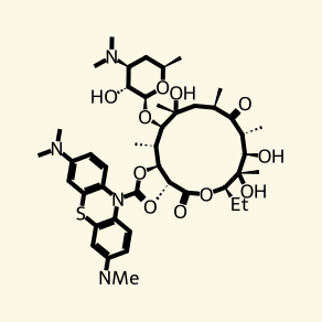 CC[C@H]1OC(=O)[C@H](C)[C@@H](OC(=O)N2c3ccc(NC)cc3Sc3cc(N(C)C)ccc32)[C@H](C)[C@@H](O[C@@H]2O[C@H](C)C[C@H](N(C)C)[C@H]2O)[C@](C)(O)C[C@@H](C)C(=O)[C@H](C)[C@@H](O)[C@]1(C)O